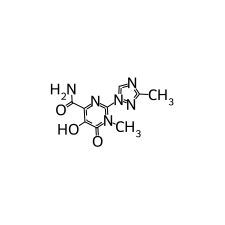 Cc1ncn(-c2nc(C(N)=O)c(O)c(=O)n2C)n1